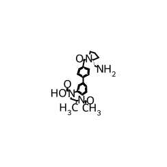 CC(=O)N1c2ccc(-c3ccc(C(=O)N4CCC[C@@H]4CN)cc3)cc2N(C(=O)O)C[C@@H]1C